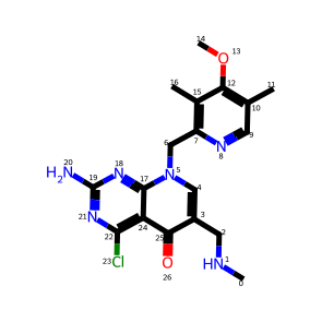 CNCc1cn(Cc2ncc(C)c(OC)c2C)c2nc(N)nc(Cl)c2c1=O